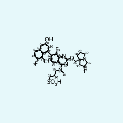 CCc1c(F)ccc2cc(O)cc(-c3ncc4c(N(C)CCCS(=O)(=O)O)nc(OC[C@@]56CCCN5C[C@H](F)C6)nc4c3F)c12